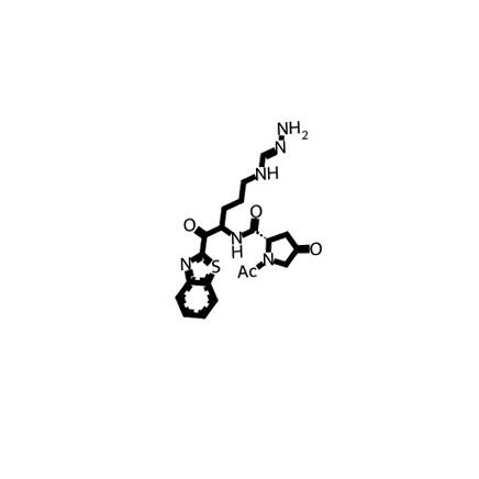 CC(=O)N1CC(=O)C[C@H]1C(=O)NC(CCCNC=NN)C(=O)c1nc2ccccc2s1